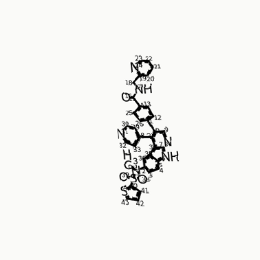 CN(c1ccc2[nH]c3ncc(-c4ccc(C(=O)NCc5ccccn5)cc4)c(-c4ccncc4)c3c2c1)S(=O)(=O)c1cccs1